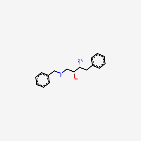 N[C@H](Cc1ccccc1)[C@@H](O)CNCc1ccccc1